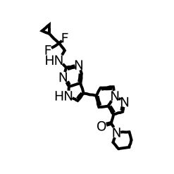 O=C(c1cnn2ccc(-c3c[nH]c4nc(NCC(F)(F)C5CC5)ncc34)cc12)N1CCCCC1